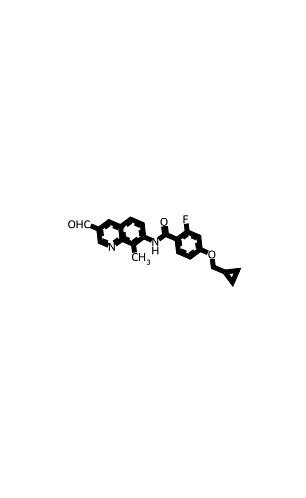 Cc1c(NC(=O)c2ccc(OCC3CC3)cc2F)ccc2cc(C=O)cnc12